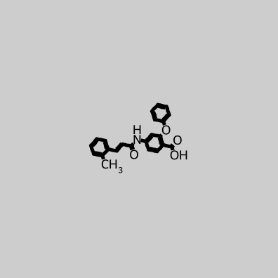 Cc1ccccc1C=CC(=O)Nc1ccc(C(=O)O)c(Oc2ccccc2)c1